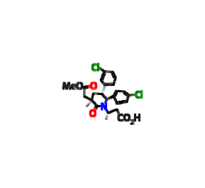 COC(=O)C[C@@]1(C)C[C@H](c2cccc(Cl)c2)[C@@H](c2ccc(Cl)cc2)N([C@@H](C)CC(=O)O)C1=O